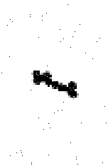 c1ccc(-c2nc(-c3ccc(-c4ccc(-c5ccc6c(c5)C5(CCCCC5)c5cc7c(cc5-6)C5(CCCCC5)c5ccccc5-7)cc4)cc3)nc3oc4ccccc4c23)cc1